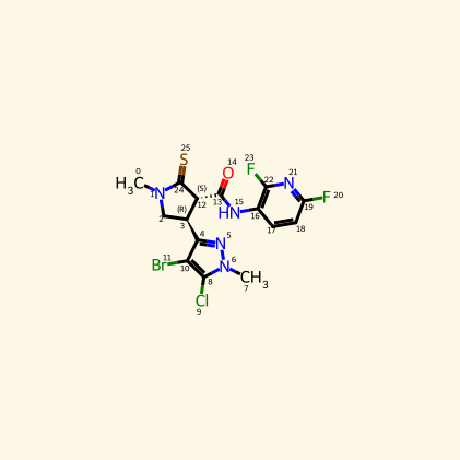 CN1C[C@H](c2nn(C)c(Cl)c2Br)[C@@H](C(=O)Nc2ccc(F)nc2F)C1=S